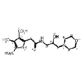 Cc1c(C(=O)O)[nH]c(CC(=O)NCC(O)CN2CCOCC2)c1C(=O)O